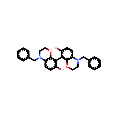 Brc1ccc2c(c1-c1c(Br)ccc3c1OCCN3Cc1ccccc1)OCCN2Cc1ccccc1